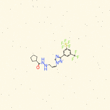 O=C(NNC/C=C\n1cnc(-c2cc(C(F)(F)F)cc(S(F)(F)(F)(F)F)c2)n1)C1CCCC1